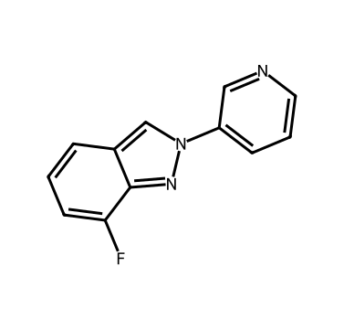 Fc1cccc2cn(-c3cccnc3)nc12